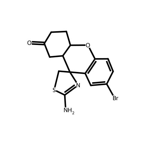 NC1=NC2(CS1)c1cc(Br)ccc1OC1CCC(=O)CC12